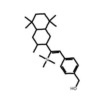 CC1CC2C(CC1C(=Cc1ccc(CO)cc1)[Si](C)(C)C)C(C)(C)CCC2(C)C